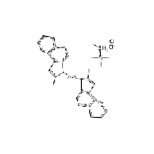 CC1=Cc2c(ccc3ccccc23)[CH]1[Zr+2][CH]1C(C)=Cc2c1ccc1ccccc21.C[SiH2][Si](C)(C)C.[Cl-].[Cl-]